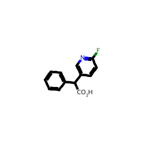 O=C(O)C(c1ccccc1)c1ccc(F)nc1